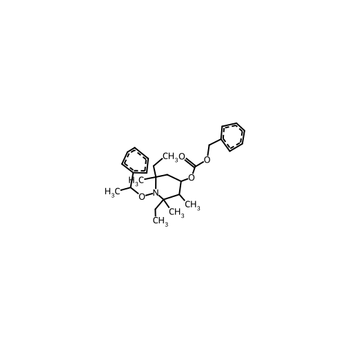 CCC1(C)CC(OC(=O)OCc2ccccc2)C(C)C(C)(CC)N1OC(C)c1ccccc1